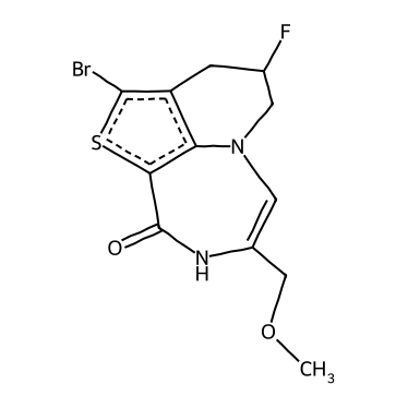 COCC1=CN2CC(F)Cc3c(Br)sc(c32)C(=O)N1